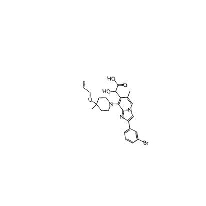 C=CCOC1(C)CCN(c2c(C(O)C(=O)O)c(C)cn3cc(-c4cccc(Br)c4)nc23)CC1